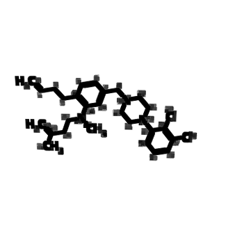 C=CCCc1ccc(CN2CCN(c3cccc(Cl)c3Cl)CC2)cc1N(C)CCC(=C)C